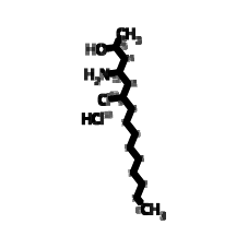 CCCCCCCCCC(Cl)CC(N)CC(C)O.Cl